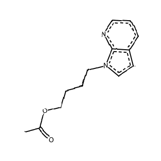 CC(=O)OCCCCn1c[c]c2cccnc21